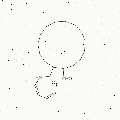 O=CC1CCCCCCCCCCCCCC1C1=CC=CC=CN1